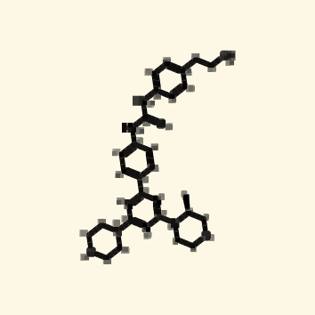 C[C@H]1COCCN1c1nc(-c2ccc(NC(=O)Nc3ccc(CCO)cc3)cc2)nc(N2CCOCC2)n1